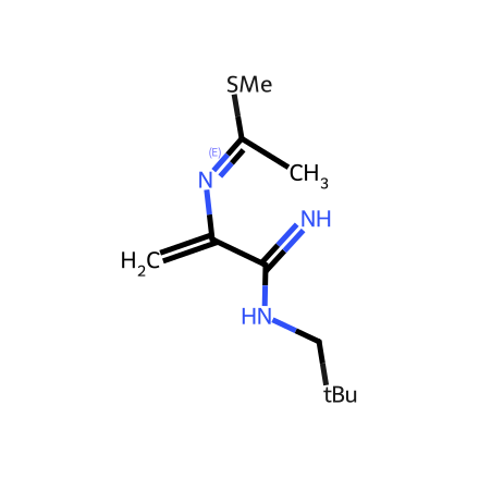 C=C(/N=C(\C)SC)C(=N)NCC(C)(C)C